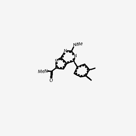 CNC(=O)c1cc2c(-c3ccc(C)c(C)c3)nc(NC)nc2s1